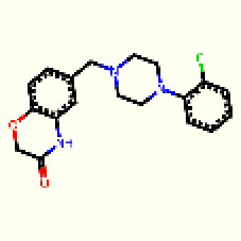 O=C1COc2ccc(CN3CCN(c4ccccc4Cl)CC3)cc2N1